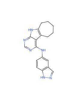 c1nc(Nc2ccc3[nH]ncc3c2)c2c3c([nH]c2n1)CCCCC3